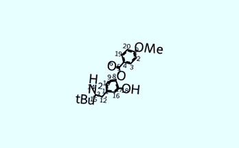 COc1ccc(C(=O)Oc2ccc([CH]C(N)C(C)(C)C)cc2O)cc1